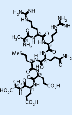 CSCC[C@@H](NC(=O)[C@H](CCC(N)=O)NC(=O)[C@H](CCCNC(=N)N)NC(=O)[C@H](CCCNC(=N)N)NC(=O)[C@H](C)N)C(=O)N[C@@H](CCC(=O)O)C(=O)N[C@@H](CCC(=O)O)C(=O)N[C@@H](C)C(=O)O